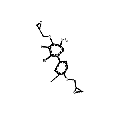 Cc1cc(-c2cc(N)c(OCC3CO3)c(I)c2S)ccc1OCC1CO1